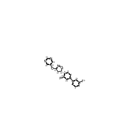 Fc1cccc(-c2ccc([C@@H]3CC(Oc4cncnc4)=NO3)c(F)c2)c1